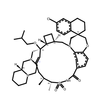 CC(C)CO[C@]1(CN2CCN3CCCC[C@@H]3C2)/C=C/C[C@H](C)[C@@H](C)S(=O)(=O)NC(=O)c2ccc3c(c2)N(C[C@@H]2CC[C@H]21)C[C@@]1(CCCc2cc(Cl)ccc21)CO3